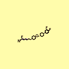 N#C/C(F)=C/C=C/CC[C@H]1CC[C@H](OC[C@H]2CC[C@H](c3ccc(F)c(F)c3)CC2)CC1